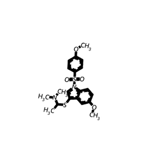 COc1ccc(S(=O)(=O)n2cc(SC(C)N(C)C)c3cc(OC)ccc32)cc1